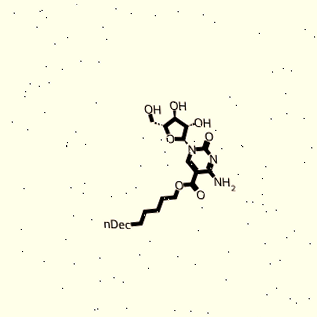 CCCCCCCCCCCCCCCOC(=O)c1cn([C@@H]2O[C@H](CO)[C@@H](O)[C@@H]2O)c(=O)nc1N